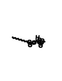 CCCCCCCCCCCCOC(=O)c1ccc(NC=C2C(=O)C=C(C)OC2=O)cc1